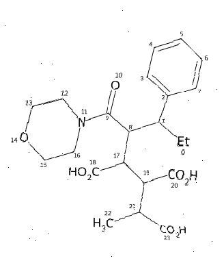 CCC(c1ccccc1)C(C(=O)N1CCOCC1)C(C(=O)O)C(C(=O)O)C(C)C(=O)O